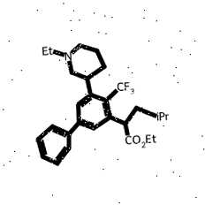 CCOC(=O)C(CC(C)C)c1cc(-c2ccccc2)cc(C2CCCN(CC)C2)c1C(F)(F)F